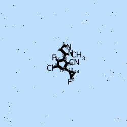 Cn1nccc1-c1c(F)c(Cl)cc(C2CC2F)c1C#N